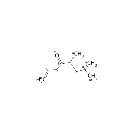 C=CCC(=O)C(C)CC(=C)C